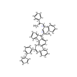 C=C(/C=C(\C=C(/C)n1c2ccccc2c2c3c(ccc21)-c1ccccc1C=C(c1cccc(-c2ccccc2)c1)C3)c1ccccc1)c1ccccc1